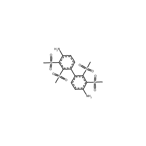 CS(=O)(=O)c1c(N)ccc(-c2ccc(N)c(S(C)(=O)=O)c2S(C)(=O)=O)c1S(C)(=O)=O